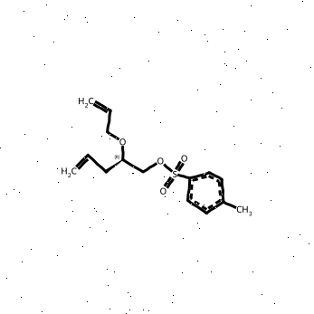 C=CCO[C@H](CC=C)COS(=O)(=O)c1ccc(C)cc1